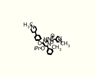 Cc1ccccc1-c1nc(NS(=O)(=O)c2cnn(C)c2)nc(Oc2ccc(C3CCN(C)CC3)cc2)c1OC(C)C